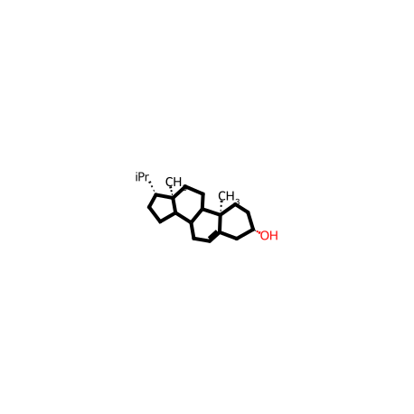 CC(C)[C@H]1CCC2C3CC=C4C[C@@H](O)CC[C@]4(C)C3CC[C@@]21C